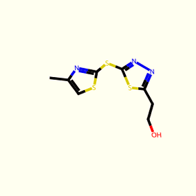 Cc1csc(Sc2nnc(CCO)s2)n1